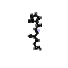 CCOC(=O)/C=C/Nc1ncn[nH]1